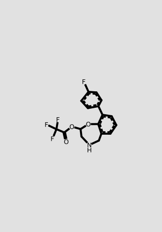 O=C(OC1CNCc2cccc(-c3ccc(F)cc3)c2O1)C(F)(F)F